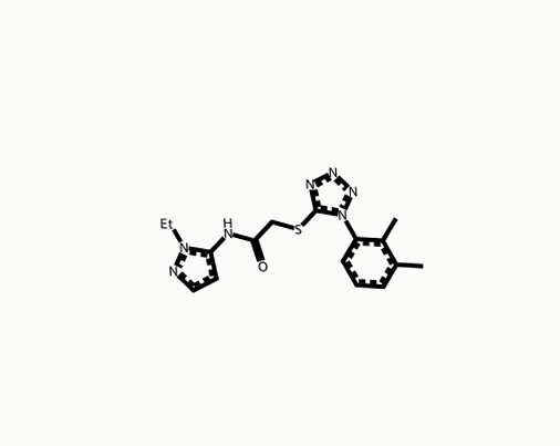 CCn1nccc1NC(=O)CSc1nnnn1-c1cccc(C)c1C